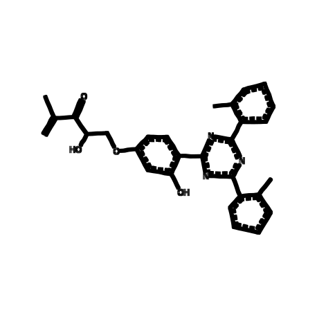 C=C(C)C(=O)C(O)COc1ccc(-c2nc(-c3ccccc3C)nc(-c3ccccc3C)n2)c(O)c1